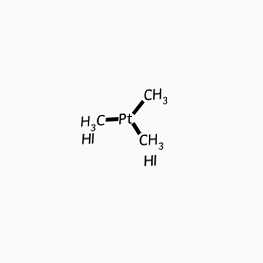 I.I.[CH3][Pt]([CH3])[CH3]